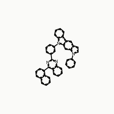 c1ccc(-n2ccc3cc4c5ccccc5n(-c5cccc(-c6nc(-c7cccc8ccccc78)c7ccccc7n6)c5)c4cc32)cc1